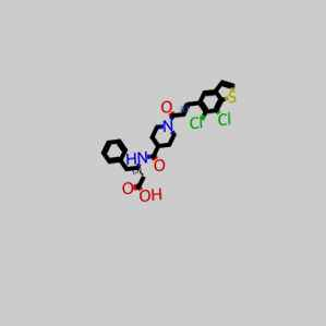 O=C(O)C[C@H](Cc1ccccc1)NC(=O)C1CCN(C(=O)/C=C/c2cc3ccsc3c(Cl)c2Cl)CC1